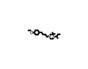 CCOC1CCC(CCCCN2CCN(C(C)CC)C(C)(C)C2)CC1